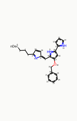 CCCCCCCCCCCCCC1=NC(=Cc2[nH]c(-c3ccc[nH]3)cc2OCc2ccccc2)C=C1